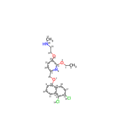 CCOc1nc(COc2cccc3c(Cl)c(Cl)ccc23)ccc1OCCNC